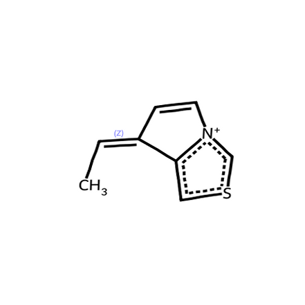 C/C=C1/C=C[n+]2cscc21